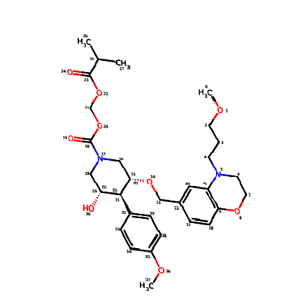 COCCCN1CCOc2ccc(CO[C@H]3CN(C(=O)OCOC(=O)C(C)C)C[C@@H](O)[C@@H]3c3ccc(OC)cc3)cc21